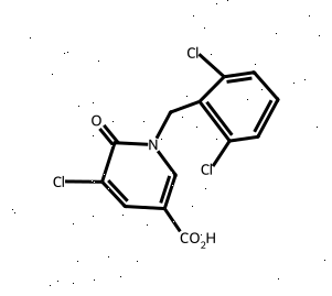 O=C(O)c1cc(Cl)c(=O)n(Cc2c(Cl)cccc2Cl)c1